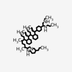 CCCNC(CNCC)C1CCC(C(CCC)C2CCCCC2C(CCC)C(CCC)C2CCCCC2C(CCC)C(C)CCC(C)C2CN3CC(CCC)CCC3N2)CC1